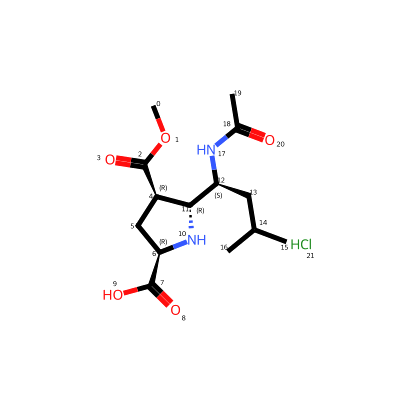 COC(=O)[C@@H]1C[C@H](C(=O)O)N[C@H]1[C@H](CC(C)C)NC(C)=O.Cl